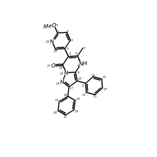 COc1ccc(-c2c(C)[nH]c3c(-c4ccccc4)c(-c4ccccc4)nn3c2=O)cn1